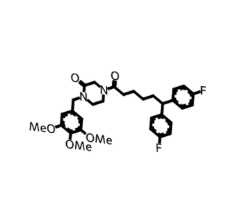 COc1cc(CN2CCN(C(=O)CCCCC(c3ccc(F)cc3)c3ccc(F)cc3)CC2=O)cc(OC)c1OC